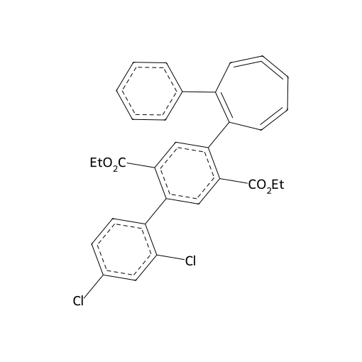 CCOC(=O)c1cc(-c2ccc(Cl)cc2Cl)c(C(=O)OCC)cc1C1=C(c2ccccc2)C=C=CC=C1